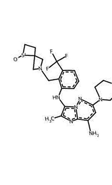 Cc1nc2c(N)cc(N3CCOCC3)nn2c1Nc1cccc(C(F)(F)F)c1CN1CC2(CC[S+]2[O-])C1